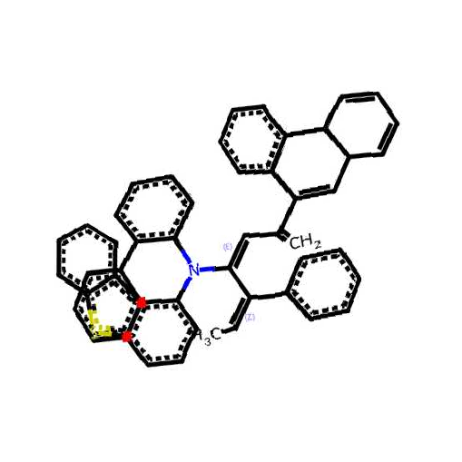 C=C(/C=C(\C(=C/C)c1ccccc1)N(c1ccccc1-c1ccccc1)c1cccc2sc3ccccc3c12)C1=CC2C=CC=CC2c2ccccc21